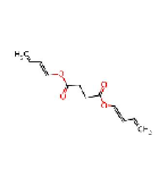 C=C/C=C/OC(=O)CCC(=O)O/C=C/C=C